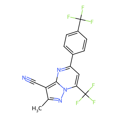 Cc1nn2c(C(F)(F)F)cc(-c3ccc(C(F)(F)F)cc3)nc2c1C#N